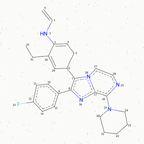 C=CNC1=CCC(c2c(-c3ccc(F)cc3)nc3c(N4CCCCC4)nccn23)C=C1CC